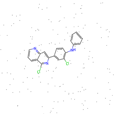 Clc1cc(-c2cc3ncccc3c(Cl)n2)ccc1Nc1ccccc1